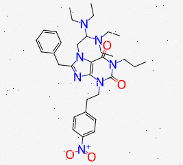 CCCn1c(=O)c2c(nc(Cc3ccccc3)n2CC(N(CC)CC)N(CC)CC)n(CCc2ccc([N+](=O)[O-])cc2)c1=O